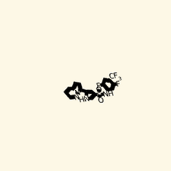 O=S(=O)(Nc1cc(F)c(C(F)(F)F)cc1F)c1c[nH]c(-c2ccc3cccnn23)c1